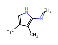 C=Nc1[nH]cc(C)c1C